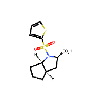 O=C(O)[C@H]1C[C@H]2CCC[C@H]2N1S(=O)(=O)c1cccs1